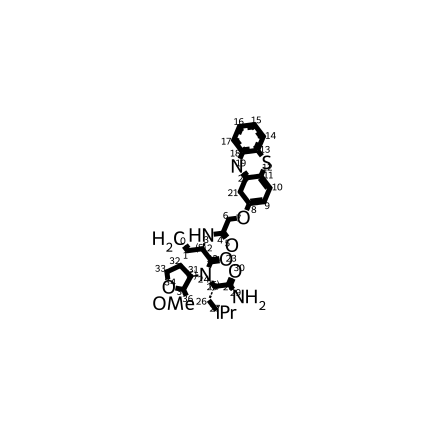 C=C[C@H](NC(=O)COC1=CC=C2Sc3ccccc3N=C2C1)C(=O)N([C@@H](CC(C)C)C(N)=O)[C@H]1CCOC1OC